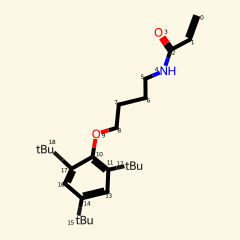 C=CC(=O)NCCCCOc1c(C(C)(C)C)cc(C(C)(C)C)cc1C(C)(C)C